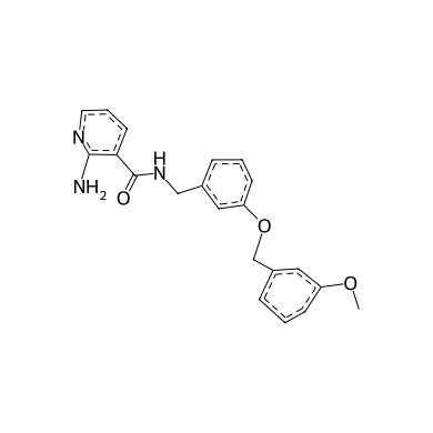 COc1cccc(COc2cccc(CNC(=O)c3cccnc3N)c2)c1